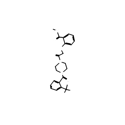 CNC(=O)c1ccccc1OCC(=O)N1CCN(C(=O)c2ccccc2C(F)(F)F)CC1